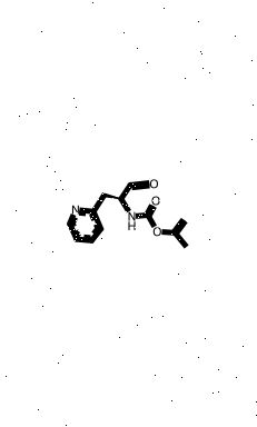 C=C(C)OC(=O)N[C@H](C=O)Cc1ccccn1